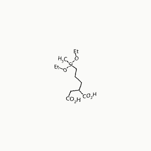 CCO[Si](C)(CCCC(CC(=O)O)C(=O)O)OCC